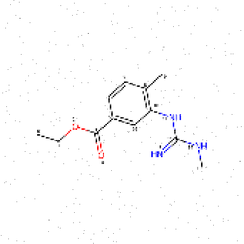 CCOC(=O)c1ccc(C)c(NC(=N)NC)c1